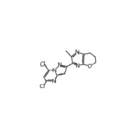 Cc1nc2c(nc1-c1cc3nc(Cl)cc(Cl)n3n1)OCCC2